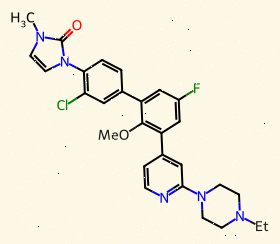 CCN1CCN(c2cc(-c3cc(F)cc(-c4ccc(-n5ccn(C)c5=O)c(Cl)c4)c3OC)ccn2)CC1